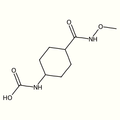 CONC(=O)C1CCC(NC(=O)O)CC1